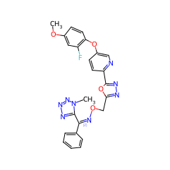 COc1ccc(Oc2ccc(-c3nnc(CO/N=C(/c4ccccc4)c4nnnn4C)o3)nc2)c(F)c1